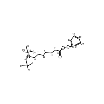 CC(C)(C)CN(CCCCCCC(=O)OCc1ccccc1)C(C)(C)C